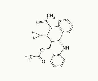 CC(=O)OC[C@@H]1[C@@H](Nc2ccccc2)c2ccccc2N(C(C)=O)[C@H]1C1CC1